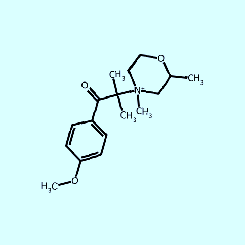 COc1ccc(C(=O)C(C)(C)[N+]2(C)CCOC(C)C2)cc1